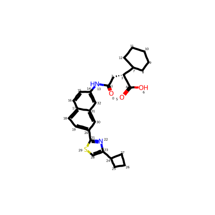 O=C(C[C@@H](C(=O)O)C1CCCCC1)Nc1ccc2ccc(-c3nc(C4CCC4)cs3)cc2c1